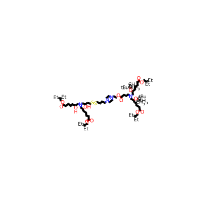 CCC(CC)COC(=O)CCCCC(O)CN(CCCCSSCCCCN1CCN(CCOC(=O)CCCN(CC(CCCCC(=O)OCC(CC)CC)O[Si](C)(C)C(C)(C)C)CC(CCCCC(=O)OCC(CC)CC)O[Si](C)(C)C(C)(C)C)CC1)CC(O)CCCCC(=O)OCC(CC)CC